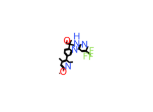 COc1cc(C)c(-c2ccc(C3(c4nc5cc(C(F)(F)F)cnc5[nH]4)COC3)cc2)c(C)n1